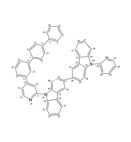 c1ccc(-c2ccc(-c3cccc(-c4ccnc(-n5c6ccccc6c6cc(-c7ccc8c(c7)c7ccccc7n8-c7ccccc7)ccc65)c4)c3)cc2)cc1